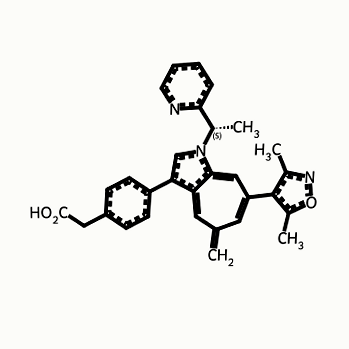 C=C1C=C(c2c(C)noc2C)C=c2c(c(-c3ccc(CC(=O)O)cc3)cn2[C@@H](C)c2ccccn2)=C1